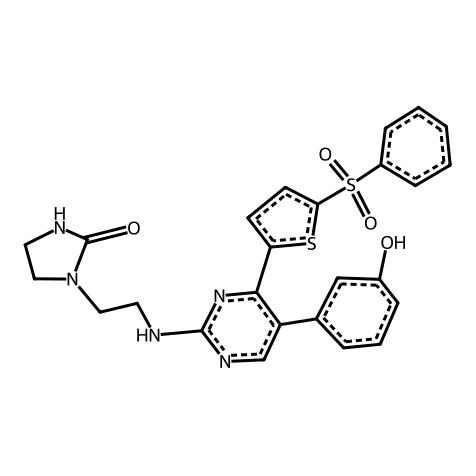 O=C1NCCN1CCNc1ncc(-c2cccc(O)c2)c(-c2ccc(S(=O)(=O)c3ccccc3)s2)n1